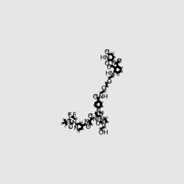 CC(C)(C)OC(=O)N(CC(F)(F)F)c1cc(-c2nc(C(=O)Nc3cn(-c4ccc(C(=O)NCCOCCOCCNc5cccc6c5C(=O)N(C5CCC(=O)NC5=O)C6=O)cc4)nc3N3CCN(CCO)C3=O)co2)ccn1